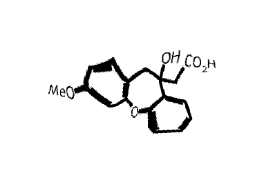 COc1ccc2c(c1)Oc1ccccc1C(O)(CC(=O)O)C2